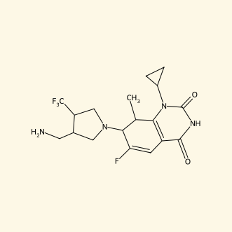 CC1c2c(c(=O)[nH]c(=O)n2C2CC2)C=C(F)C1N1CC(CN)C(C(F)(F)F)C1